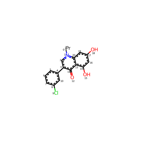 CC(C)n1cc(-c2cccc(Cl)c2)c(=O)c2c(O)cc(O)cc21